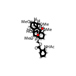 CCN1C[C@]2(COC(=O)c3ccccc3NC(C)=O)CC[C@H](OC)[C@]34C1[C@](O)([C@@H](OC)[C@H]23)[C@@]1(O)C[C@H](OC)[C@H]2C[C@@H]4[C@@H]1[C@H]2OC